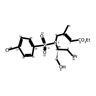 CCOC(=O)C=C(C)CN([C@@H](CO)CC(C)C)S(=O)(=O)c1ccc(Cl)cc1